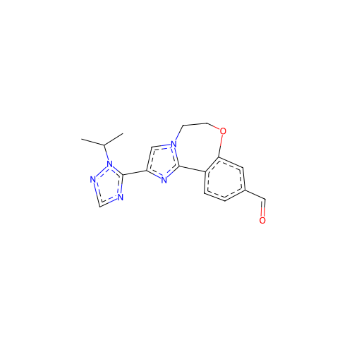 CC(C)n1ncnc1-c1cn2c(n1)-c1ccc(C=O)cc1OCC2